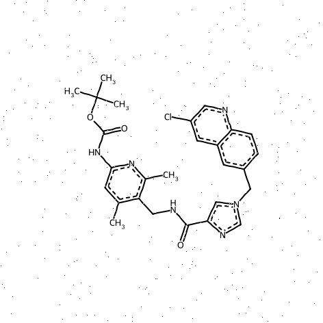 Cc1cc(NC(=O)OC(C)(C)C)nc(C)c1CNC(=O)c1cn(Cc2ccc3ncc(Cl)cc3c2)cn1